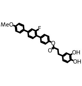 COc1ccc(-c2ccc(-c3ccc(OC(=O)CCc4ccc(O)c(O)c4)cc3)c(F)c2)cc1